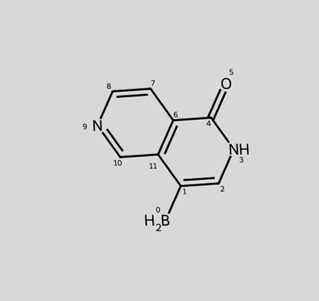 Bc1c[nH]c(=O)c2ccncc12